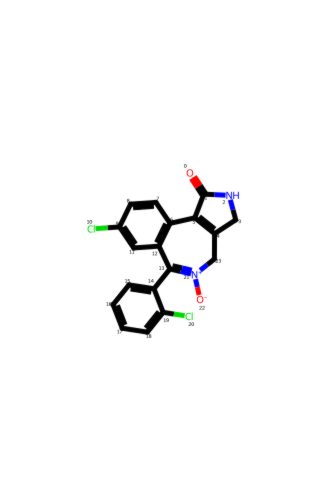 O=C1NCC2=C1c1ccc(Cl)cc1C(c1ccccc1Cl)=[N+]([O-])C2